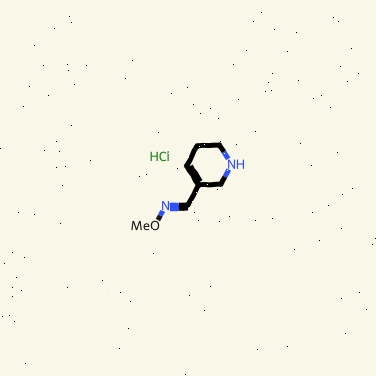 CON=CC1=CCCNC1.Cl